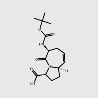 CC(C)(C)OC(=O)N[C@H]1CC=C[C@H]2CC[C@@H](C(=O)O)N2C1=O